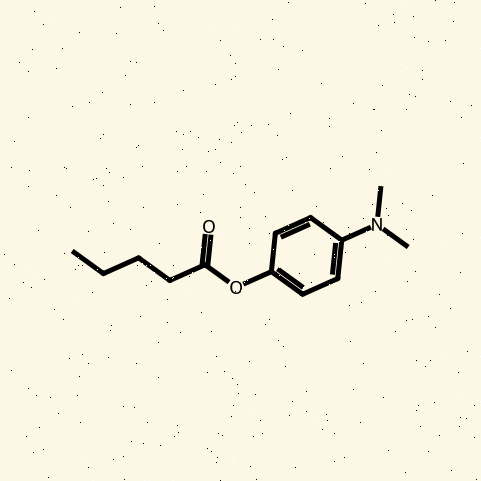 CCCCC(=O)Oc1ccc(N(C)C)cc1